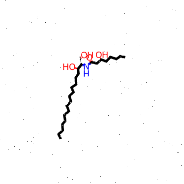 CCCCCCCCCCCCCCC[C@@H](O)[C@H](CO)NC(=O)C[C@H](O)CCCCC